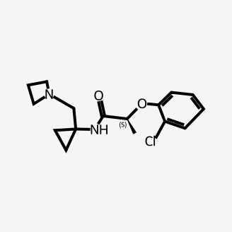 C[C@H](Oc1ccccc1Cl)C(=O)NC1(CN2CCC2)CC1